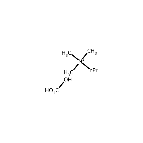 CCC[N+](C)(C)C.O=C(O)O